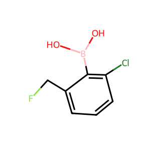 OB(O)c1c(Cl)cccc1CF